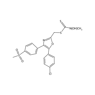 CN(O)C(=S)SCc1nc(-c2ccc(S(C)(=O)=O)cc2)c(-c2ccc(Cl)cc2)o1